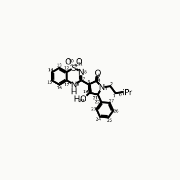 CC(C)CCN1C(=O)C(C2=NS(=O)(=O)c3ccccc3N2)=C(O)C1c1ccccc1